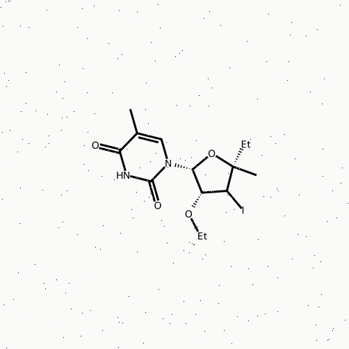 CCO[C@H]1C(I)[C@@](C)(CC)O[C@H]1n1cc(C)c(=O)[nH]c1=O